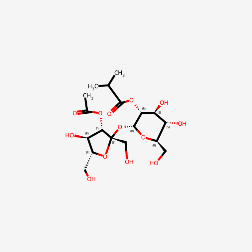 CC(=O)O[C@H]1[C@H](O)[C@@H](CO)O[C@@]1(CO)O[C@H]1O[C@H](CO)[C@@H](O)[C@H](O)[C@H]1OC(=O)C(C)C